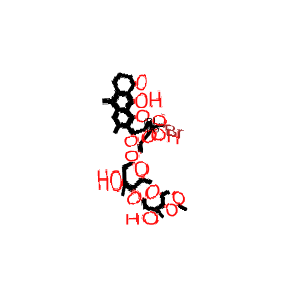 CO[C@@]12Oc3c(c(C)cc4c(C)c5c(c(O)c34)C(=O)CCC5)C3OC(COC4CC(C)(O)C(OC5CC(C)(O)C(OC(C)=O)C(C)O5)C(C)O4)(OC31)[C@]2(O)CBr